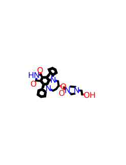 O=C1NC(=O)c2c1c1c3ccccc3n3c1c1c2c2ccccc2n1CC(OC(=O)N1CCN(CCO)CC1)CC3